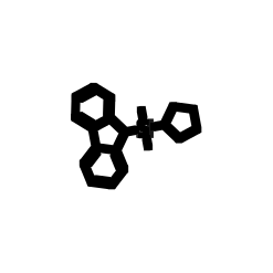 C[Si](C)(C1CCCC1)C1c2ccccc2-c2ccccc21